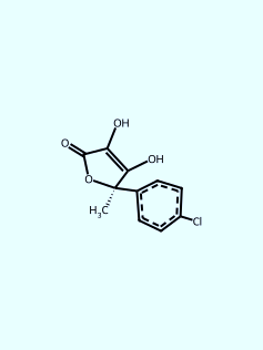 C[C@]1(c2ccc(Cl)cc2)OC(=O)C(O)=C1O